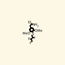 CCC(N)Cc1cc(OC)c(SCC(F)C(F)CF)c(OC)c1